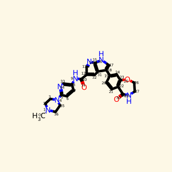 CN1CCN(c2ccc(NC(=O)c3cnc4[nH]cc(-c5ccc6c(c5)OCCNC6=O)c4c3)cn2)CC1